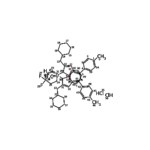 Cc1ccc(-c2cccc3c2C=C(CC2CCCCC2)[CH]3[Zr]([CH3])(=[SiH2])([CH2]CC(F)(F)F)[CH]2C(CC3CCCCC3)=Cc3c(-c4ccc(C)cc4)cccc32)cc1.Cl.Cl